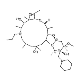 CCCN1CC(C)CC(C)(O)CC(C)C(O[C@H]2C[C@@](C)(OC)[C@](O)(CN3CCCCC3)[C@H](C)O2)C(C)C(=O)OC(CC)C(C)(O)C(O)C1C